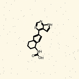 O=C(O)NC1CCCc2cc(-c3ncnc4[nH]ccc34)ccc21